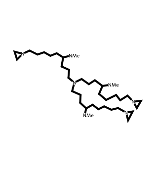 CNC(CCCCCN1CC1)CCCN(CCCC(CCCCCN1CC1)NC)CCCC(CCCCCN1CC1)NC